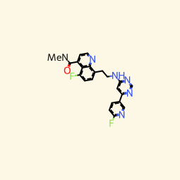 CNC(=O)c1ccnc2c(CCNc3cc(-c4ccc(F)nc4)ncn3)ccc(F)c12